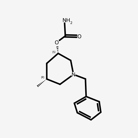 C[C@@H]1C[C@H](OC(N)=O)CN(Cc2ccccc2)C1